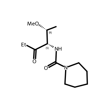 CCC(=O)[C@@H](NC(=O)N1CCCCC1)[C@@H](C)OC